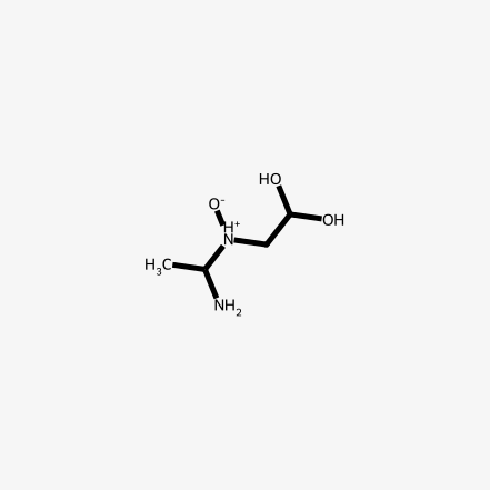 CC(N)[NH+]([O-])CC(O)O